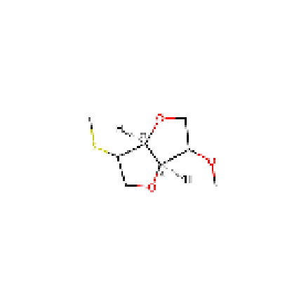 COC1CO[C@@H]2C(SC)CO[C@H]12